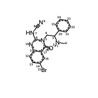 CN(C)C(Cn1c(NC#N)nc2ccc(Br)cc2c1=O)c1ccccc1